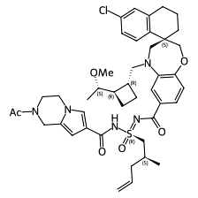 C=CC[C@H](C)C[S@](=O)(=NC(=O)c1ccc2c(c1)N(C[C@@H]1CC[C@H]1[C@H](C)OC)C[C@@]1(CCCc3cc(Cl)ccc31)CO2)NC(=O)c1cc2n(c1)CCN(C(C)=O)C2